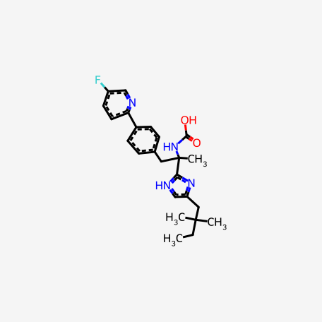 CCC(C)(C)Cc1c[nH]c(C(C)(Cc2ccc(-c3ccc(F)cn3)cc2)NC(=O)O)n1